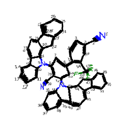 N#Cc1ccc(-c2cc(-n3c4ccccc4c4ccc5c(c43)Cc3ccccc3-5)c(C#N)c(-n3c4ccccc4c4ccc5c(c43)Cc3ccccc3-5)c2)c(C(F)(F)F)c1